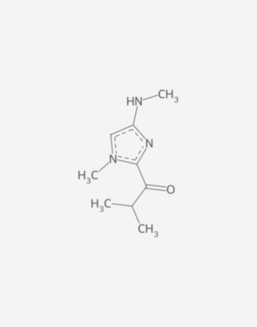 CNc1cn(C)c(C(=O)C(C)C)n1